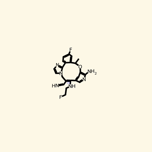 CC1Oc2cc(cnc2N)/C(NCCF)=C(/C=N)Cn2ccnc2-c2ccc(F)cc21